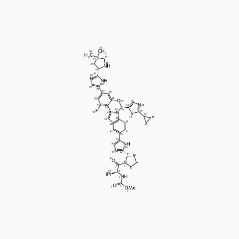 COC(=O)N[C@H](C(=O)N1CCC[C@H]1c1ncc(-c2ccc3c(c2)cc2n3[C@H](c3cnc(C4CC4)s3)Oc3cc(-c4cnc([C@@H]5CS(C)(C)CN5)[nH]4)cc(F)c3-2)[nH]1)C(C)C